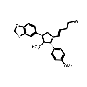 COc1ccc([C@@H]2[C@@H](C(=O)O)[C@@H](c3ccc4c(c3)OCO4)CN2C=CCCC(C)C)cc1